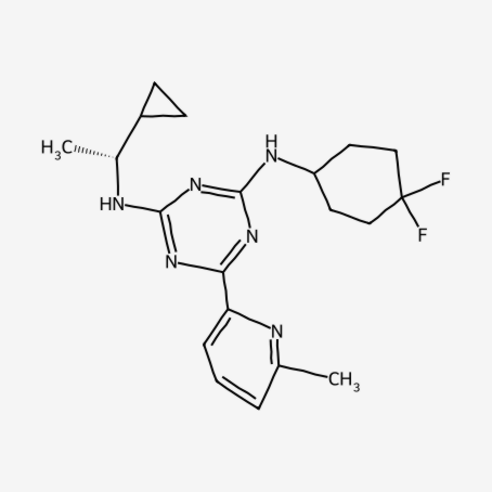 Cc1cccc(-c2nc(NC3CCC(F)(F)CC3)nc(N[C@H](C)C3CC3)n2)n1